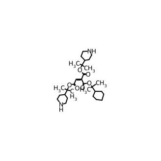 CC(C)(OC(=O)/C=C(\C(=O)OC(C)(C)C1CCCCC1)C(=O)OC(C)(C)C1CCNCC1)C1CCNCC1